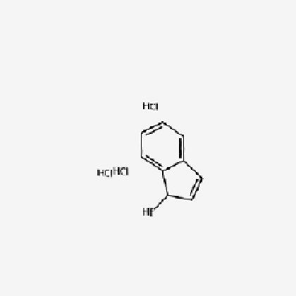 Cl.Cl.Cl.[Hf][CH]1C=Cc2ccccc21